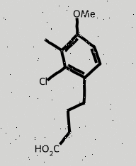 COc1ccc(CCCC(=O)O)c(Cl)c1C